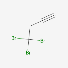 [C]#CCC(Br)(Br)Br